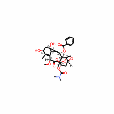 CO[C@H]1C(=O)[C@]2(C)[C@@H](OC(=O)N(C)C)C[C@H]3OC[C@@]3(OC(C)=O)[C@H]2[C@]2(OC(=O)c3ccccc3)C[C@@]3(C)C1=C(C)[C@@H](O)C[C@]32O